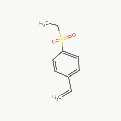 C=Cc1ccc(S(=O)(=O)CC)cc1